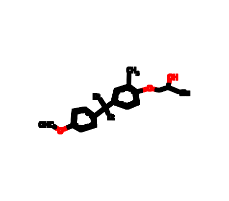 CCC(CC)(c1ccc(OC=O)cc1)c1ccc(OCC(O)C(C)(C)C)c(C)c1